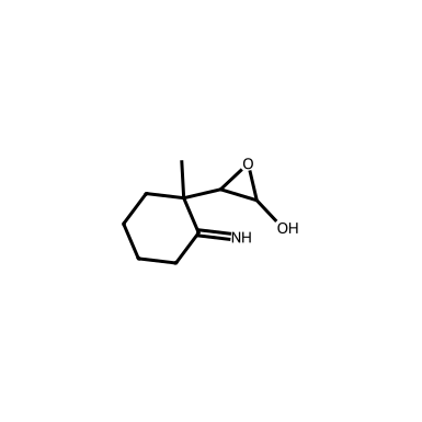 CC1(C2OC2O)CCCCC1=N